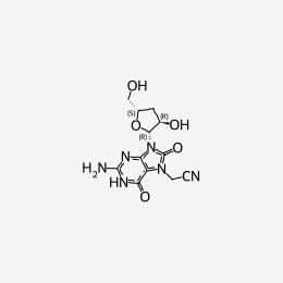 N#CCn1c(=O)n([C@@H]2O[C@H](CO)C[C@H]2O)c2nc(N)[nH]c(=O)c21